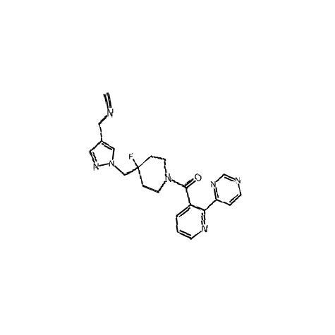 C=NCc1cnn(CC2(F)CCN(C(=O)c3cccnc3-c3ccncn3)CC2)c1